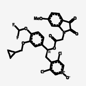 COc1ccc2c(c1)N(CC(=O)O[C@@H](Cc1c(Cl)c[n+]([O-])cc1Cl)c1ccc(OC(F)F)c(OCC3CC3)c1)C(=O)C2=O